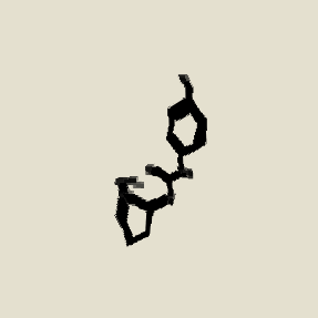 CN1CCCC1=NC(=S)Nc1ccc(F)cc1